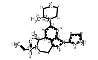 C=CS(=O)(=O)N1CCc2nn(-c3cc[nH]n3)c3nc(N4CCOC[C@H]4C)cc(c23)C1C